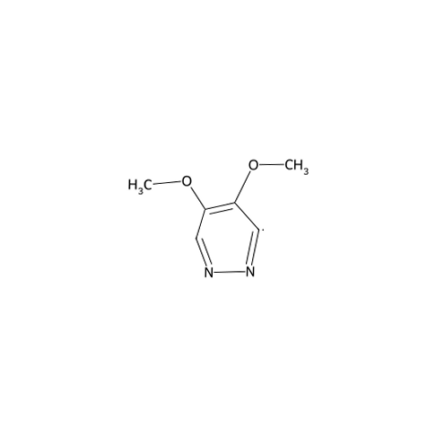 COc1[c]nncc1OC